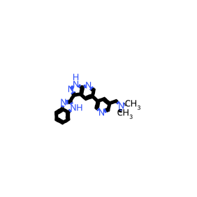 CN(C)Cc1cncc(-c2cnc3[nH]nc(-c4nc5ccccc5[nH]4)c3c2)c1